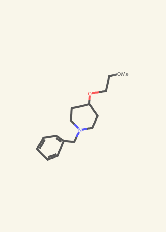 COCCOC1CCN(Cc2ccccc2)CC1